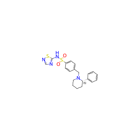 O=S(=O)(Nc1ncns1)c1ccc(CN2CCCC[C@H]2c2ccccc2)cc1